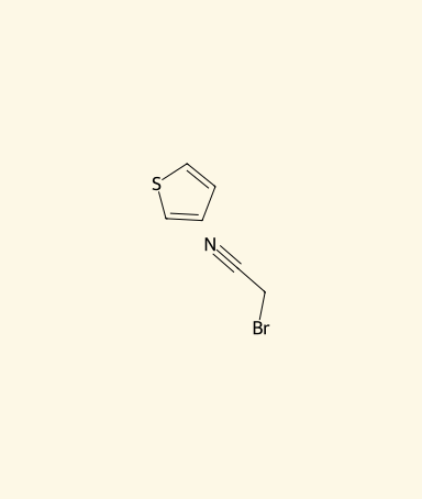 N#CCBr.c1ccsc1